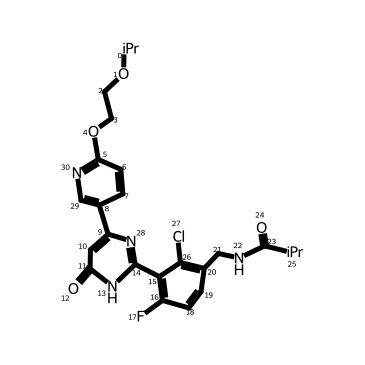 CC(C)OCCOc1ccc(-c2cc(=O)[nH]c(-c3c(F)ccc(CNC(=O)C(C)C)c3Cl)n2)cn1